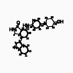 O=C1NCc2c(-c3cnc4ccccn34)ccc(Nc3ccc(N4CCC(O)CC4)cn3)c21